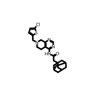 O=C(CC12CC3CC(CC(C3)C1)C2)Nc1ncnc2c1CCN(Cc1ccc(Cl)s1)C2